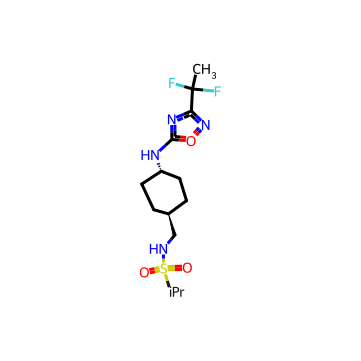 CC(C)S(=O)(=O)NC[C@H]1CC[C@H](Nc2nc(C(C)(F)F)no2)CC1